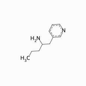 CCCC(N)Cc1cccnc1